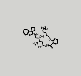 COCCCCOc1ccccc1C(=O)NC[C@@H](C[C@H](N)[C@@H](O)CNC(=O)C1(c2ccccc2)CCC1)C(C)C.Cl